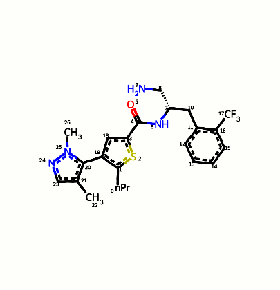 CCCc1sc(C(=O)N[C@H](CN)Cc2ccccc2C(F)(F)F)cc1-c1c(C)cnn1C